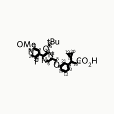 COc1cc(-c2ncc(COc3cccc(C(CC(=O)O)C4CC4)c3)nc2OCC(C)(C)C)c(F)cn1